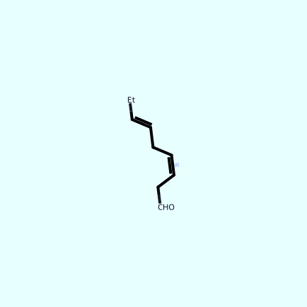 CCC=CC/C=C\CC=O